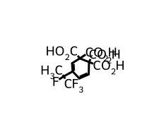 CC(F)(C1=CC(C(=O)O)(C(=O)O)C(C(=O)O)(C(=O)O)C=C1)C(F)(F)F